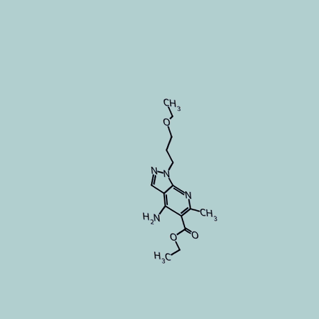 CCOCCCn1ncc2c(N)c(C(=O)OCC)c(C)nc21